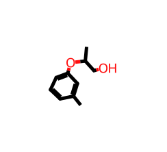 Cc1cccc(OC(C)CO)c1